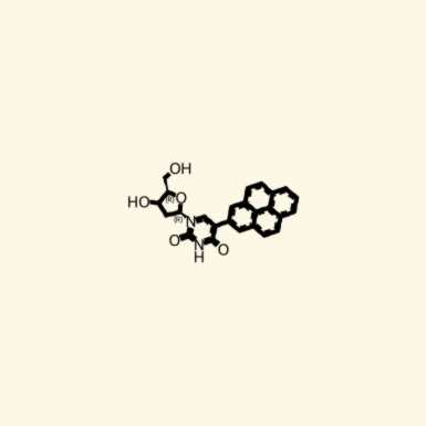 O=c1[nH]c(=O)n([C@H]2CC(O)[C@@H](CO)O2)cc1-c1cc2ccc3cccc4ccc(c1)c2c34